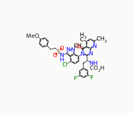 COc1ccc(CCS(=O)(=O)Nc2nn(C)c3c(-n4c([C@H](Cc5cc(F)cc(F)c5)NC(=O)O)nc5nc(C)cc(C)c5c4=O)ccc(Cl)c23)cc1